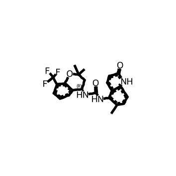 Cc1ccc2[nH]c(=O)ccc2c1NC(=O)N[C@@H]1CC(C)(C)Oc2c1cccc2C(F)(F)F